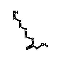 CCS(#N)=PP=PP=PP=P